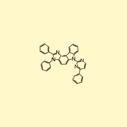 c1ccc(-c2ccnc(-n3c4ccccc4c4c5nc(-c6ccccc6)n(-c6ccccc6)c5ccc43)n2)cc1